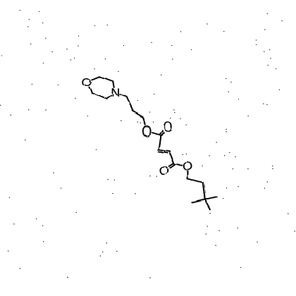 CC(C)(C)CCOC(=O)/C=C/C(=O)OCCCN1CCOCC1